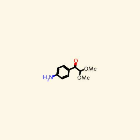 COC(OC)C(=O)c1ccc(N)cc1